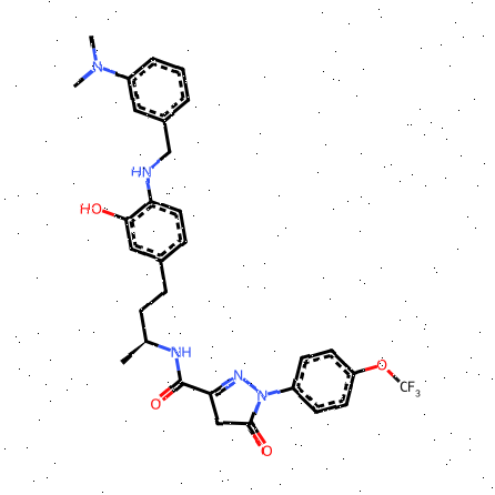 C[C@@H](CCc1ccc(NCc2cccc(N(C)C)c2)c(O)c1)NC(=O)C1=NN(c2ccc(OC(F)(F)F)cc2)C(=O)C1